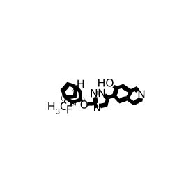 C[C@@]12C=C[C@@H](C[C@H](Oc3ncc(-c4cc5ccncc5cc4O)nn3)[C@H]1F)C2